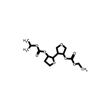 CCOC(=O)OC1COCC1C1OCCC1OC(=O)OC(C)C